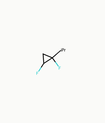 [CH2]C(C)C1(F)CC1F